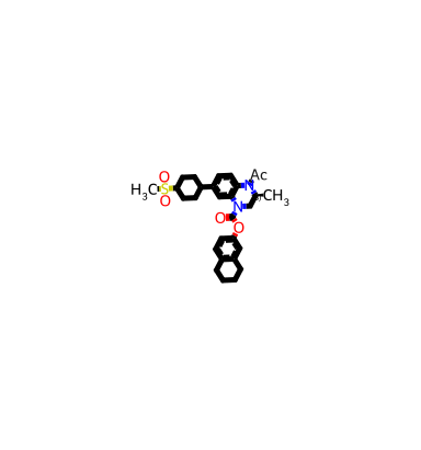 CC(=O)N1c2ccc(C3CCC(S(C)(=O)=O)CC3)cc2N(C(=O)Oc2ccc3c(c2)CCCC3)C[C@@H]1C